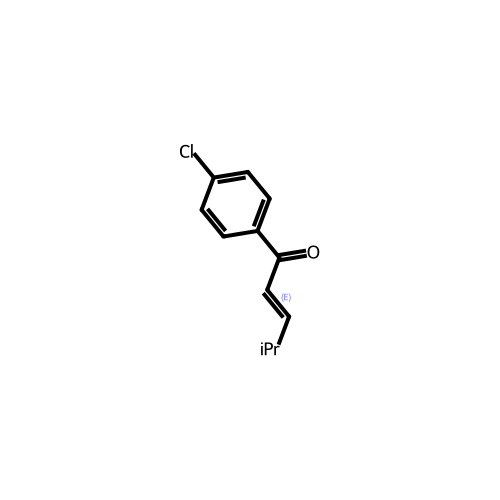 CC(C)/C=C/C(=O)c1ccc(Cl)cc1